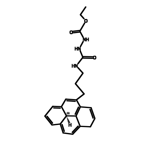 CCOC(=O)NNC(=O)NCCCC1=CC2=CC=CC3=CC=C4CC=CC1=C4[C@@H]32